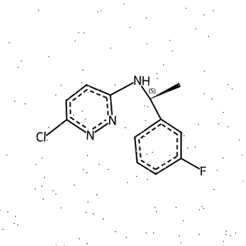 C[C@H](Nc1ccc(Cl)nn1)c1cccc(F)c1